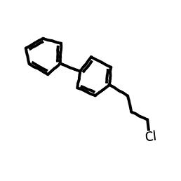 ClCCCc1ccc(-c2ccccc2)cc1